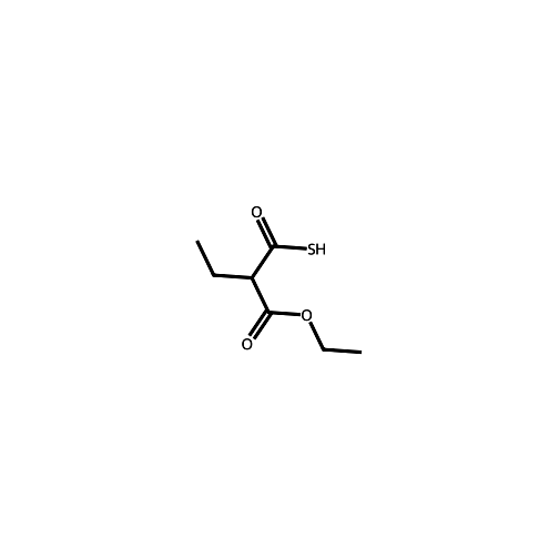 CCOC(=O)C(CC)C(=O)S